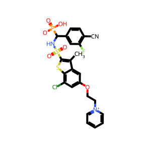 Cc1c(S(=O)(=O)NC(c2ccc(C#N)c(F)c2)P(=O)([O-])O)sc2c(Cl)cc(OCC[n+]3ccccc3)cc12